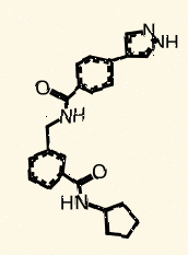 O=C(NCc1cccc(C(=O)NC2CCCC2)c1)c1ccc(-c2cn[nH]c2)cc1